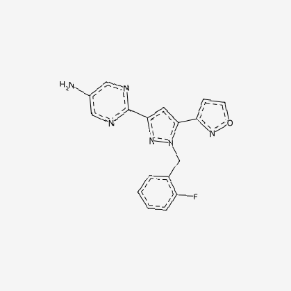 Nc1cnc(-c2cc(-c3ccon3)n(Cc3ccccc3F)n2)nc1